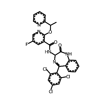 CC(Oc1ncc(F)cc1C(=O)NC1N=C(c2c(Cl)cc(Cl)cc2Cl)c2ccccc2NC1=O)c1ccccn1